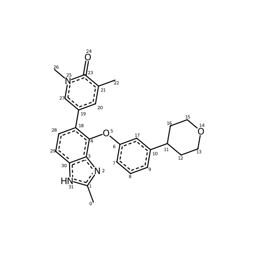 Cc1nc2c(Oc3cccc(C4CCOCC4)c3)c(-c3cc(C)c(=O)n(C)c3)ccc2[nH]1